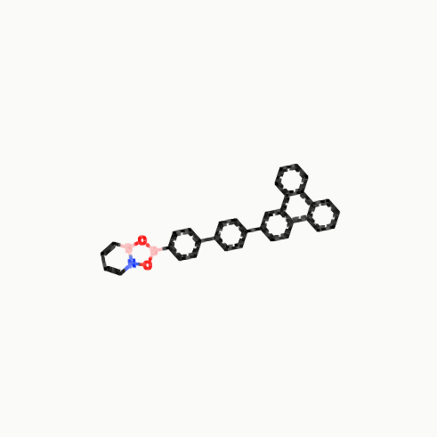 C1=CB2OB(c3ccc(-c4ccc(-c5ccc6c7ccccc7c7ccccc7c6c5)cc4)cc3)ON2C=C1